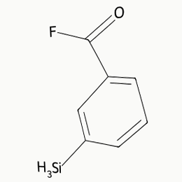 O=C(F)c1cccc([SiH3])c1